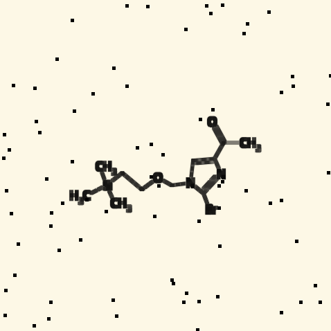 CC(=O)c1cn(COCC[Si](C)(C)C)c(Br)n1